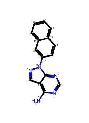 Nc1ncnc2c1cnn2-c1ccc2ccccc2c1